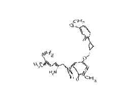 COc1ccc([C@H]2C[C@@H]2COc2cc(NC/C(N)=C/C=C(/C)N)c(=O)n(C)n2)nc1